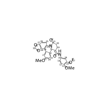 COc1ccc(C2C(C(=O)Nc3ccc(OC)c(OF)c3)CCC(=O)N2c2ccc3c(c2)OCO3)cc1